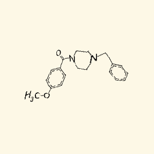 COc1ccc(C(=O)N2CCN(Cc3ccccc3)CC2)cc1